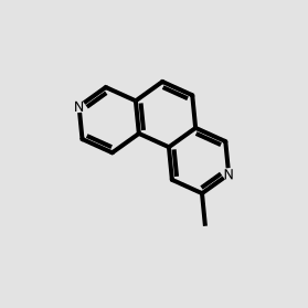 Cc1cc2c(ccc3cnccc32)cn1